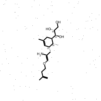 C=C(C)CCOC=C(N)C[C@@H]1C=C(C)CC([C@H](O)[C@H](O)CO)[C@@H]1C